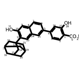 O=C(O)c1ccc(-c2ccc3cc(O)c(C45CC6CC(CC(C6)C4)C5)cc3c2)cc1O